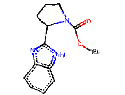 CC(C)(C)OC(=O)N1CCCC1c1nc2ccccc2[nH]1